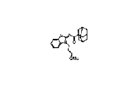 COCCCn1c(=NC(=O)C23CC4CC(CC(C4)C2)C3)sc2ccccc21